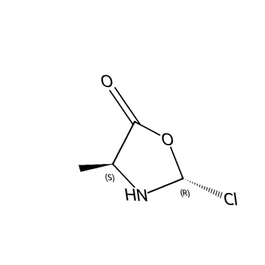 C[C@@H]1N[C@@H](Cl)OC1=O